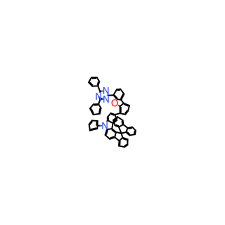 c1ccc(-c2nc(-c3ccccc3)nc(-c3cccc4c3oc3c(-c5ccc6c(c5)c5c7c(ccc5n6-c5ccccc5)-c5ccccc5C75c6ccccc6-c6ccccc65)cccc34)n2)cc1